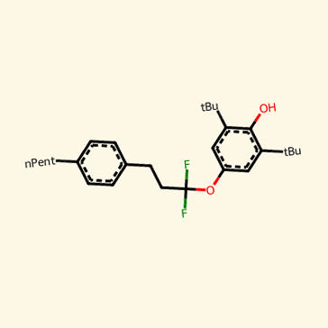 CCCCCc1ccc(CCC(F)(F)Oc2cc(C(C)(C)C)c(O)c(C(C)(C)C)c2)cc1